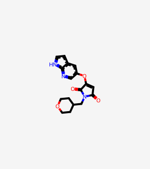 O=C1C=C(Oc2cnc3[nH]ccc3c2)C(=O)N1CC1CCOCC1